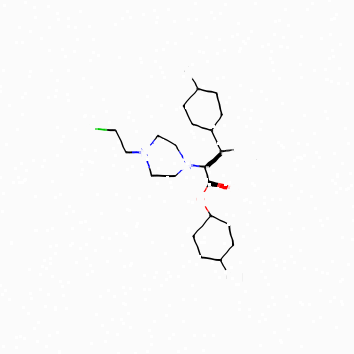 CC1CCC(OC(=O)/C(=C(\C(=O)O)C2CCC(C)CC2)N2CCN(CCCl)CC2)CC1